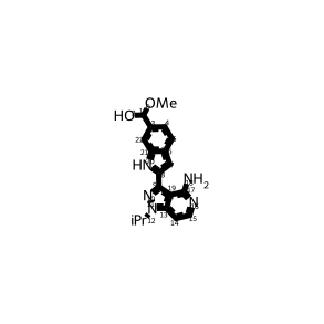 COC(O)c1ccc2cc(-c3nn(C(C)C)c4ccnc(N)c34)[nH]c2c1